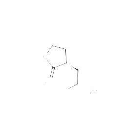 CN[C@@H](C[C@@H]1CCNC1=O)C(=O)O